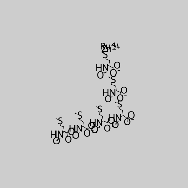 CSCC[C@H](NC=O)C(=O)[O-].CSCC[C@H](NC=O)C(=O)[O-].CSCC[C@H](NC=O)C(=O)[O-].CSCC[C@H](NC=O)C(=O)[O-].CSCC[C@H](NC=O)C(=O)[O-].CSCC[C@H](NC=O)C(=O)[O-].[Ru+4].[Zn+2]